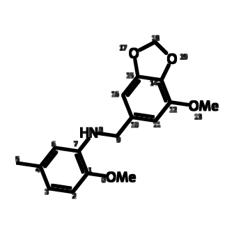 COc1ccc(C)cc1NCc1cc(OC)c2c(c1)OCO2